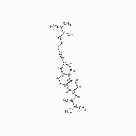 C=C(C)C(=O)OCCC#Cc1ccc2c(c1)CCc1cc(OC(=O)C(=C)C)ccc1-2